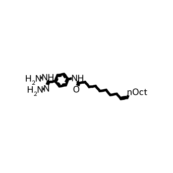 CCCCCCCC/C=C\CCCCCCCC(=O)Nc1ccc(/C(=N/N)NN)cc1